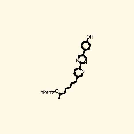 CCCCCOC(C)CCCC=Cc1ccc(-c2ncc(-c3ccc(O)cc3)cn2)nc1